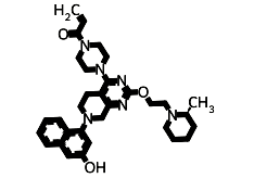 C=CC(=O)N1CCN(c2nc(OCCN3CCCC[C@H]3C)nc3c2CCN(c2cc(O)cc4ccccc24)C3)CC1